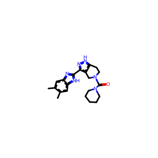 Cc1cc2nc(-c3n[nH]c4c3CN(C(=O)N3CCCCC3)CC4)[nH]c2cc1C